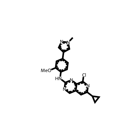 COc1cc(-c2cnn(C)c2)ccc1Nc1ncc2cc(C3CC3)nc(Cl)c2n1